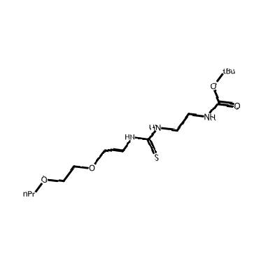 CCCOCCOCCNC(=S)NCCNC(=O)OC(C)(C)C